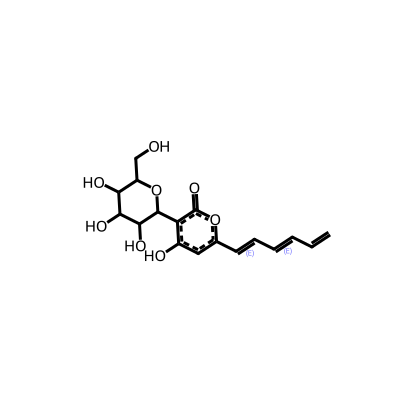 C=C/C=C/C=C/c1cc(O)c(C2OC(CO)C(O)C(O)C2O)c(=O)o1